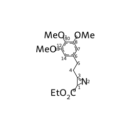 CCOC(=O)C1N=C1CCc1cc(OC)c(OC)c(OC)c1